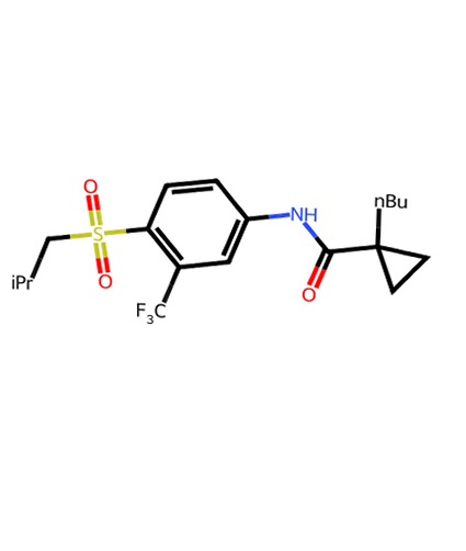 CCCCC1(C(=O)Nc2ccc(S(=O)(=O)CC(C)C)c(C(F)(F)F)c2)CC1